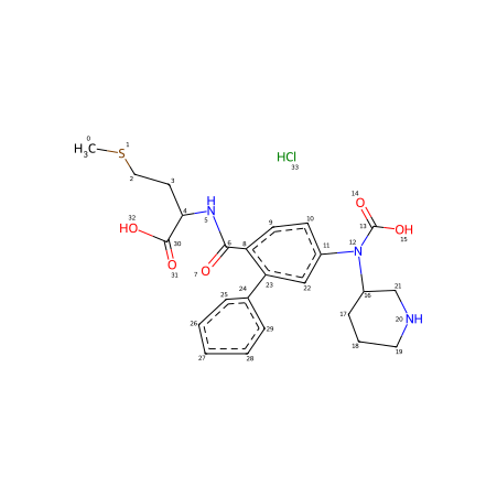 CSCCC(NC(=O)c1ccc(N(C(=O)O)C2CCCNC2)cc1-c1ccccc1)C(=O)O.Cl